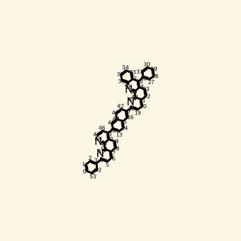 c1ccc(-c2ccc3ccc4c(-c5ccc6cc(-c7ccc8ccc9c(-c%10ccccc%10)c%10ccccc%10nc9c8n7)ccc6c5)ccnc4c3n2)cc1